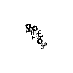 Cc1c(C(=O)Nc2cccc(-c3ccccc3C(F)(F)F)c2)[nH]c2ccc([N+](=O)[O-])cc12